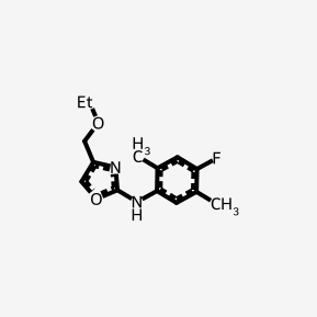 CCOCc1coc(Nc2cc(C)c(F)cc2C)n1